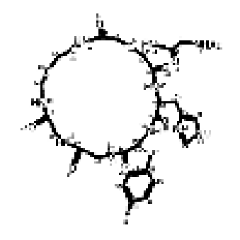 CC(=O)NCC(=O)N[C@H]1CCC(=O)NCCCCNC(=O)CNC(=O)CNC(=O)[C@@H](Cc2ccc(F)cc2)NC(=O)[C@H](Cc2c[nH]cn2)NC1=O